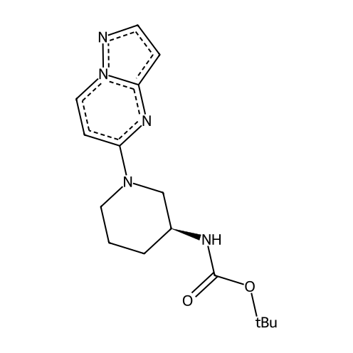 CC(C)(C)OC(=O)N[C@H]1CCCN(c2ccn3nccc3n2)C1